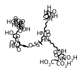 CC(C)(CCC(NC(=O)CCCC[C@@H]1SC[C@@H]2NC(=O)N[C@@H]21)C(=O)NCCCCCC(=O)NC(CC(=O)O)C(=O)NC(CC(=O)O)C(=O)O)SSCOCC#Cc1cn(C2CC(O)C(COP(=O)(O)OP(=O)(O)OP(=O)(O)O)O2)c(=O)[nH]c1=O